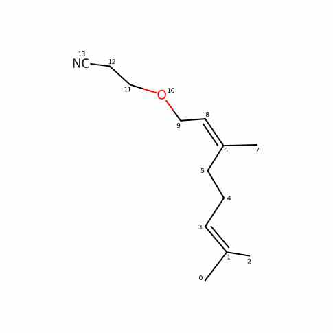 CC(C)=CCCC(C)=CCOCCC#N